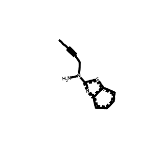 CC#CCN(N)c1nc2ccccc2s1